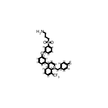 NCCCS(=O)(=O)c1cccc(Oc2cccc(C3=C4C=CC=C(C(F)(F)F)C4N(Cc4ccc(F)cc4)C=C3)c2)c1